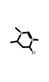 CCC1CC(C)N(C)C=[N+]1C